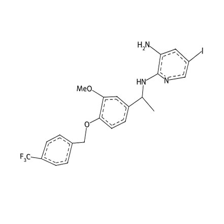 COc1cc(C(C)Nc2ncc(I)cc2N)ccc1OCc1ccc(C(F)(F)F)cc1